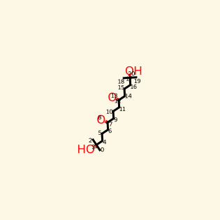 CC(C)(O)CCCC(=O)CCCC(=O)CCCC(C)(C)O